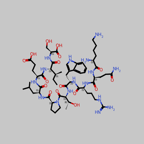 CC[C@H](C)[C@H](NC(=O)[C@H](CCC(=O)O)NC(=O)[C@H](CC(C)C)NC(=O)[C@@H]1CCCN1C(=O)[C@@H](NC(=O)[C@H](Cc1c[nH]c2ccccc12)NC(=O)[C@H](CCCNC(=N)N)NC(=O)[C@H](CCC(N)=O)NC(=O)[C@@H](N)CCCCN)[C@@H](C)O)C(=O)N[C@@H](CO)C(=O)O